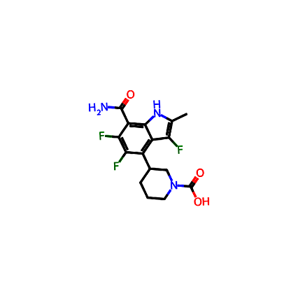 Cc1[nH]c2c(C(N)=O)c(F)c(F)c(C3CCCN(C(=O)O)C3)c2c1F